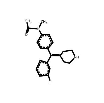 CC(=O)N(C)c1ccc(C(=C2CCNCC2)c2cccc(F)c2)cc1